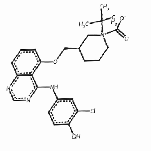 CC(C)(C)[N+]1(C(=O)[O-])CCC[C@@H](COc2cccc3ncnc(Nc4ccc(O)c(Cl)c4)c23)C1